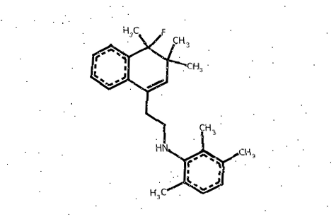 Cc1ccc(C)c(NCCC2=CC(C)(C)C(C)(F)c3ccccc32)c1C